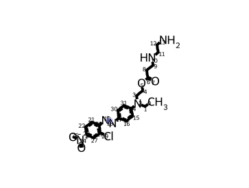 CCN(CCOC(=O)CCNCCN)c1ccc(/N=N/c2ccc([N+](=O)[O-])cc2Cl)cc1